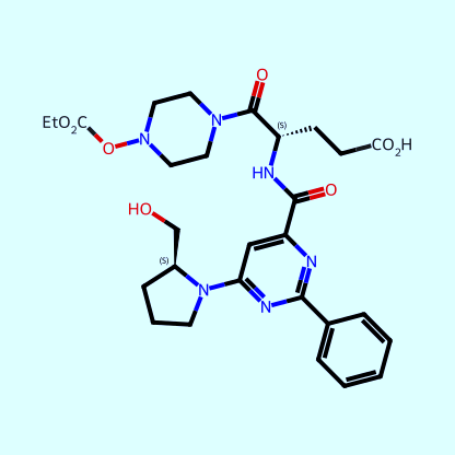 CCOC(=O)ON1CCN(C(=O)[C@H](CCC(=O)O)NC(=O)c2cc(N3CCC[C@H]3CO)nc(-c3ccccc3)n2)CC1